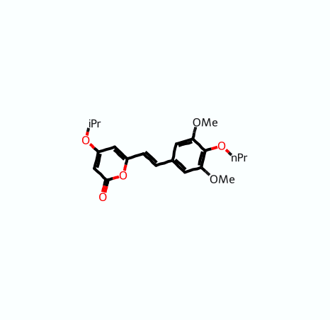 CCCOc1c(OC)cc(C=Cc2cc(OC(C)C)cc(=O)o2)cc1OC